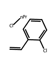 C=Cc1ccccc1Cl.CCCCl